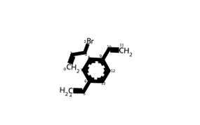 C=CCBr.C=Cc1ccc(C=C)cc1